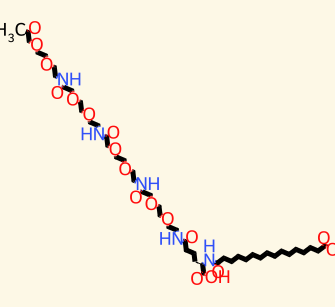 CC(=O)COCCOCCNC(=O)COCCOCCNC(=O)COCCOCCNC(=O)COCCOCCNC(=O)CCC[C@H](NC(=O)CCCCCCCCCCCCCCC(=O)O)C(=O)O